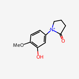 COc1ccc([N+]2CCCC2=O)cc1O